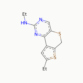 CCNc1ncc2c(n1)-c1cc(CC)sc1CS2